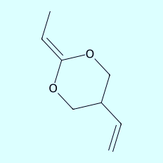 C=CC1COC(=CC)OC1